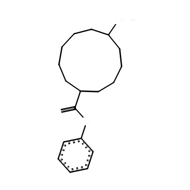 O=C(O)C1CCCCCC(C(=O)Oc2ccccc2)CCCC1